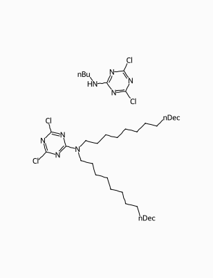 CCCCCCCCCCCCCCCCCCN(CCCCCCCCCCCCCCCCCC)c1nc(Cl)nc(Cl)n1.CCCCNc1nc(Cl)nc(Cl)n1